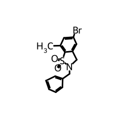 Cc1cc(Br)cc2c1S(=O)(=O)N(Cc1ccccc1)C2